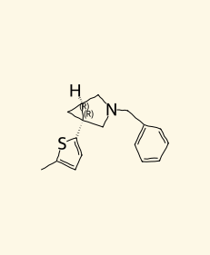 Cc1ccc([C@]23C[C@H]2CN(Cc2ccccc2)C3)s1